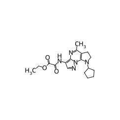 CCOC(=O)C(=O)Nc1cnn2c3c(c(C)nc12)CCN3C1CCCC1